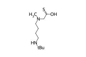 CN(CCCCNC(C)(C)C)CC(O)=S